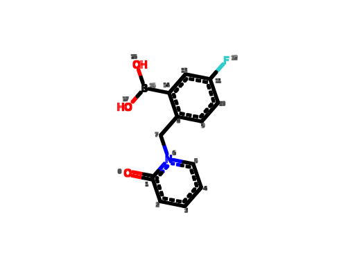 O=c1ccccn1Cc1ccc(F)cc1B(O)O